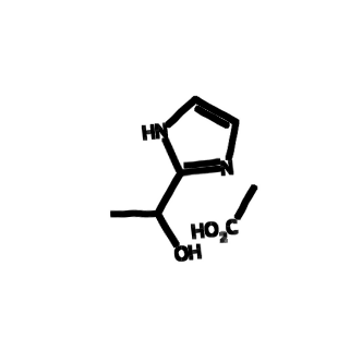 CC(=O)O.CC(O)c1ncc[nH]1